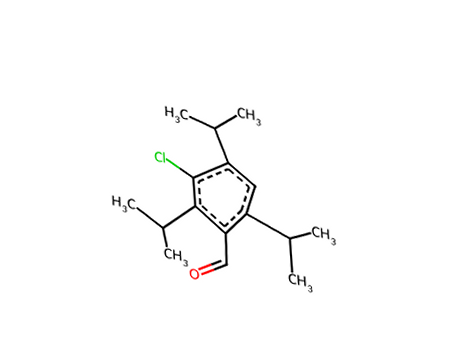 CC(C)c1cc(C(C)C)c(C=O)c(C(C)C)c1Cl